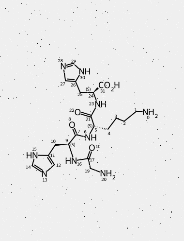 NCCCC[C@H](NC(=O)[C@H](Cc1cnc[nH]1)NC(=O)CN)C(=O)N[C@@H](Cc1cnc[nH]1)C(=O)O